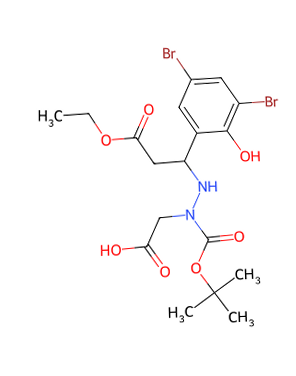 CCOC(=O)CC(NN(CC(=O)O)C(=O)OC(C)(C)C)c1cc(Br)cc(Br)c1O